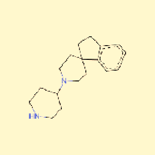 c1ccc2c(c1)CCC21CCN(C2CCNCC2)CC1